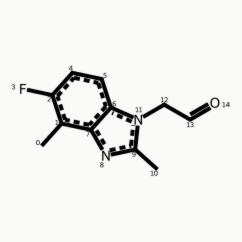 Cc1c(F)ccc2c1nc(C)n2CC=O